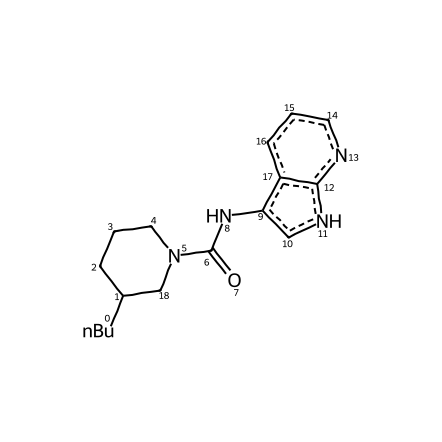 CCCCC1CCCN(C(=O)Nc2c[nH]c3ncccc23)C1